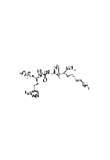 NCCCC[C@H](N)c1noc(CNC(=O)N[C@@H](CCc2cnc[nH]2)C(=O)O)n1